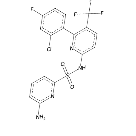 Nc1cccc(S(=O)(=O)Nc2ccc(C(F)(F)F)c(-c3ccc(F)cc3Cl)n2)n1